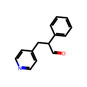 O=CC(Cc1ccncc1)c1ccccc1